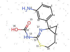 Nc1cccc(C23CC2CCSC(NC(=O)O)=N3)c1